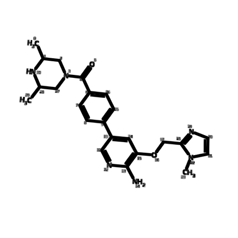 CC1CN(C(=O)c2ccc(-c3cnc(N)c(OCc4nccn4C)c3)cc2)CC(C)N1